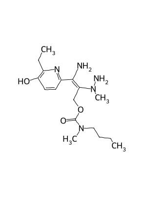 CCCCN(C)C(=O)OC/C(=C(/N)c1ccc(O)c(CC)n1)N(C)N